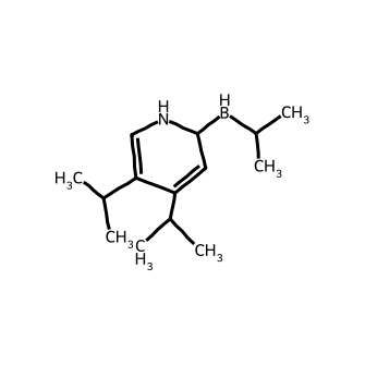 CC(C)BC1C=C(C(C)C)C(C(C)C)=CN1